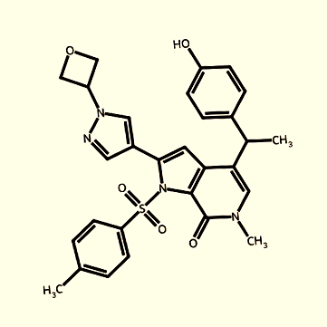 Cc1ccc(S(=O)(=O)n2c(-c3cnn(C4COC4)c3)cc3c(C(C)c4ccc(O)cc4)cn(C)c(=O)c32)cc1